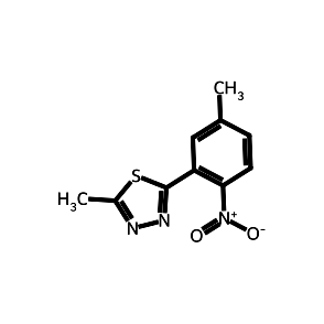 Cc1ccc([N+](=O)[O-])c(-c2nnc(C)s2)c1